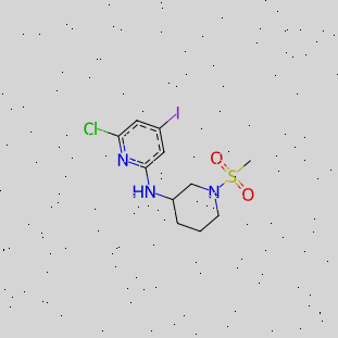 CS(=O)(=O)N1CCCC(Nc2cc(I)cc(Cl)n2)C1